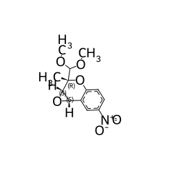 COC(OC)[C@]1(C)Oc2ccc([N+](=O)[O-])cc2[C@@H]2O[C@@H]21